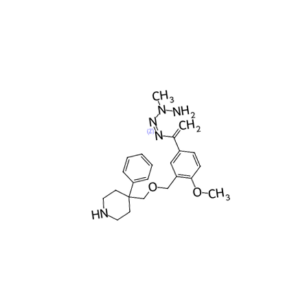 C=C(/N=N\N(C)N)c1ccc(OC)c(COCC2(c3ccccc3)CCNCC2)c1